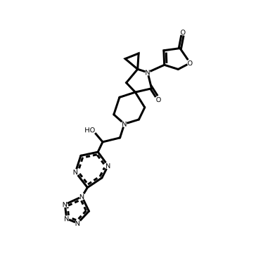 O=C1C=C(N2C(=O)C3(CCN(CC(O)c4cnc(-n5cnnn5)cn4)CC3)CC23CC3)CO1